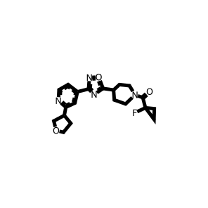 O=C(N1CCC(c2nc(-c3ccnc(C4CCOC4)c3)no2)CC1)C1(F)CC1